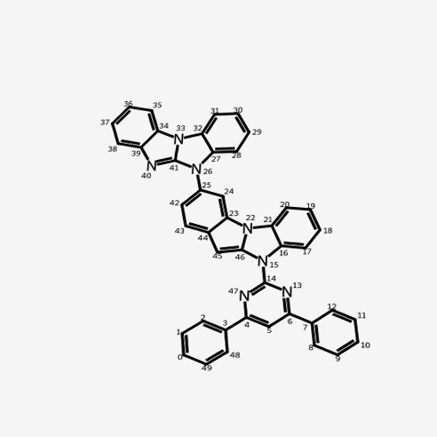 c1ccc(-c2cc(-c3ccccc3)nc(-n3c4ccccc4n4c5cc(-n6c7ccccc7n7c8ccccc8nc67)ccc5cc34)n2)cc1